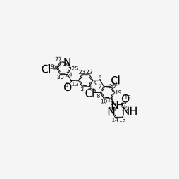 O=C(c1ccc(Cc2c(Cl)cc(N3N=CCNC3=O)cc2Cl)cc1)c1cncc(Cl)c1